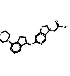 O=C(O)C[C@@H]1CSc2cc(OC3CCc4c3cccc4N3CCOCC3)ncc21